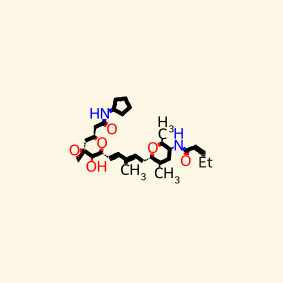 CC/C=C\C(=O)N[C@@H]1C[C@H](C)[C@H](C/C=C(C)/C=C/[C@H]2O[C@H](CC(=O)NC3CCCC3)C[C@@]3(CO3)[C@@H]2O)O[C@@H]1C